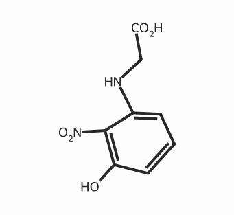 O=C(O)CNc1cccc(O)c1[N+](=O)[O-]